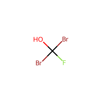 OC(F)(Br)Br